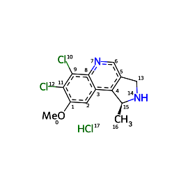 COc1cc2c3c(cnc2c(Cl)c1Cl)CN[C@H]3C.Cl